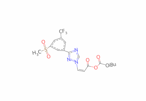 CC(C)COC(=O)OC(=O)/C=C\n1cnc(-c2cc(C(F)(F)F)cc(S(C)(=O)=O)c2)n1